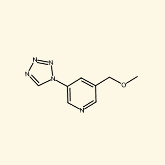 COCc1cncc(-n2cnnn2)c1